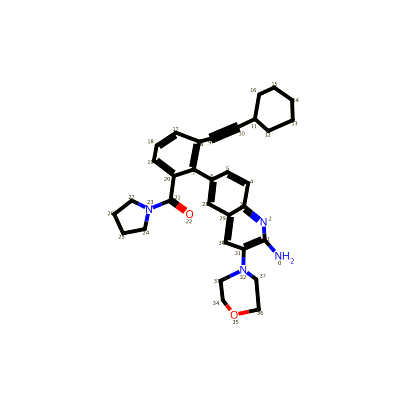 Nc1nc2ccc(-c3c(C#CC4CCCCC4)cccc3C(=O)N3CCCC3)cc2cc1N1CCOCC1